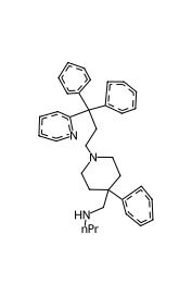 CCCNCC1(c2ccccc2)CCN(CCC(c2ccccc2)(c2ccccc2)c2ccccn2)CC1